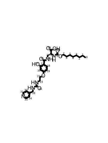 CCCCCCCCOC(=O)N[C@@H](CNC(=O)c1ccc(OCCNC(=O)NCc2ccncc2)cc1O)C(=O)O